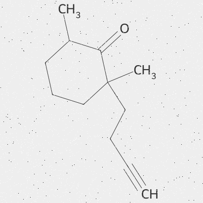 C#CCCC1(C)CCCC(C)C1=O